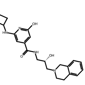 O=C(NC[C@H](O)CN1CCc2ccccc2C1)c1cc(O)nc(NC2CCC2)c1